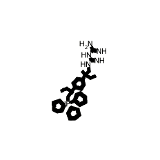 CCC(C)(CNC(=N)NC(=N)N)c1ccc(C(C)(CC)C[PH](c2ccccc2)(c2ccccc2)c2ccccc2)cc1